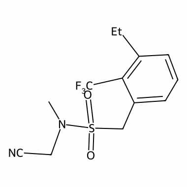 CCc1cccc(CS(=O)(=O)N(C)CC#N)c1C(F)(F)F